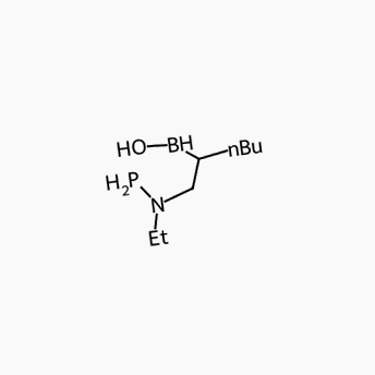 CCCCC(BO)CN(P)CC